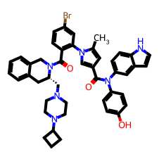 Cc1cc(C(=O)N(c2ccc(O)cc2)c2ccc3[nH]ccc3c2)cn1-c1cc(Br)ccc1C(=O)N1Cc2ccccc2C[C@H]1CN1CCN(C2CCC2)CC1